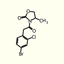 CC1COC(=O)N1C(=O)Cc1ccc(Br)cc1Cl